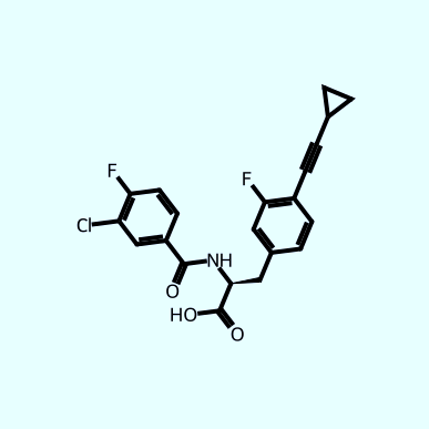 O=C(N[C@@H](Cc1ccc(C#CC2CC2)c(F)c1)C(=O)O)c1ccc(F)c(Cl)c1